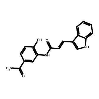 NC(=O)c1ccc(O)c(NC(=O)C=Cc2c[nH]c3ccccc23)c1